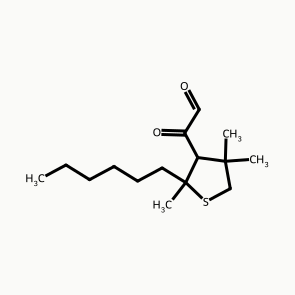 CCCCCCC1(C)SCC(C)(C)C1C(=O)C=O